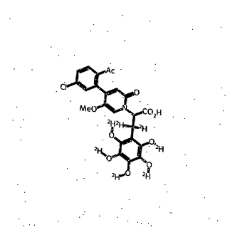 [2H]Oc1c(O[2H])c(O[2H])c(C([2H])([2H])C(C(=O)O)n2cc(OC)c(-c3cc(Cl)ccc3C(C)=O)cc2=O)c(O[2H])c1O[2H]